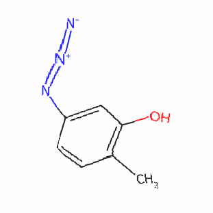 Cc1ccc(N=[N+]=[N-])cc1O